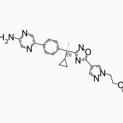 COCCn1cc(-c2nc([C@](C)(c3ccc(-c4cnc(N)cn4)cc3)C3CC3)no2)cn1